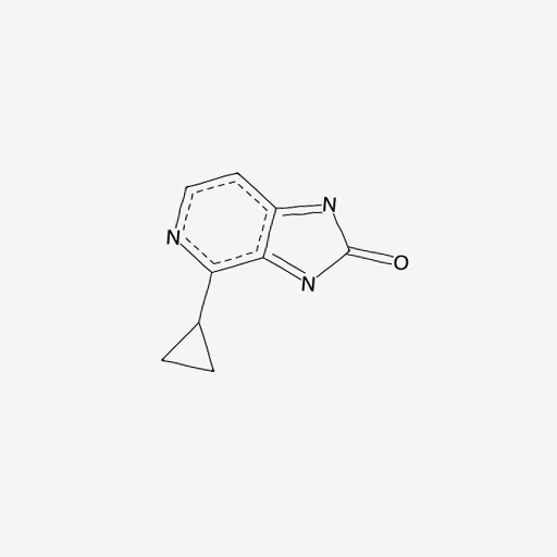 O=C1N=c2ccnc(C3CC3)c2=N1